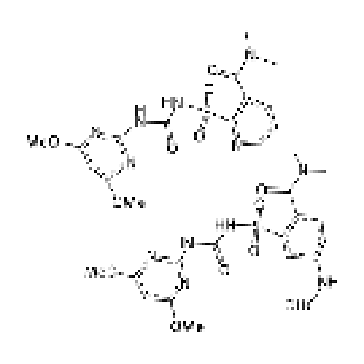 COc1cc(OC)nc(NC(=O)NS(=O)(=O)c2cc(NC=O)ccc2C(=O)N(C)C)n1.COc1cc(OC)nc(NC(=O)NS(=O)(=O)c2ncccc2C(=O)N(C)C)n1